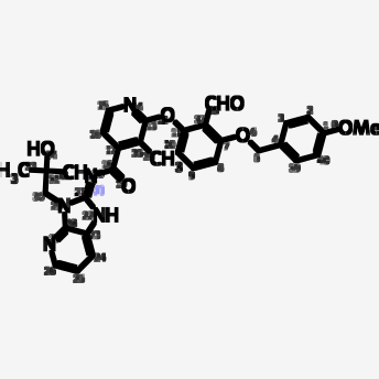 COc1ccc(COc2cccc(Oc3nccc(C(=O)/N=c4\[nH]c5cccnc5n4CC(C)(C)O)c3C)c2C=O)cc1